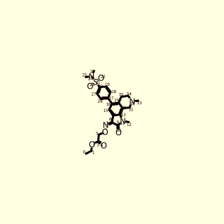 CCOC(=O)CON=C1C(=O)N(C)c2c1cc(-c1ccc(S(=O)(=O)N(C)C)cc1)c1c2CN(C)CC1